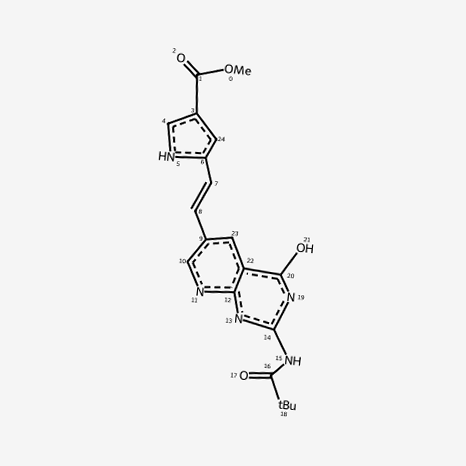 COC(=O)c1c[nH]c(C=Cc2cnc3nc(NC(=O)C(C)(C)C)nc(O)c3c2)c1